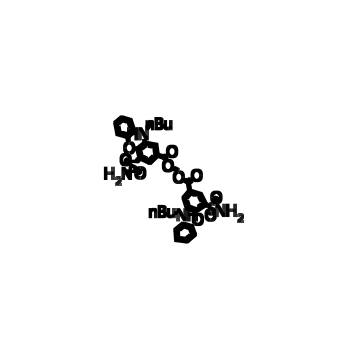 CCCCNc1cc(C(=O)OCOC(=O)c2cc(NCCCC)c(Oc3ccccc3)c(S(N)(=O)=O)c2)cc(S(N)(=O)=O)c1Oc1ccccc1